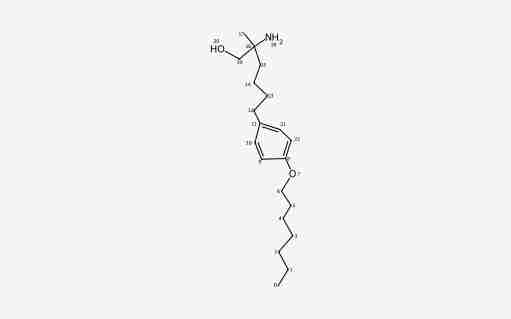 CCCCCCCOc1ccc(CCCCC(C)(N)CO)cc1